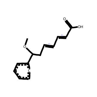 COC(C/C=C/C=C/C(=O)O)c1ccccc1